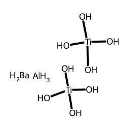 [AlH3].[BaH2].[OH][Ti]([OH])([OH])[OH].[OH][Ti]([OH])([OH])[OH]